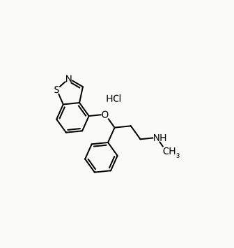 CNCCC(Oc1cccc2sncc12)c1ccccc1.Cl